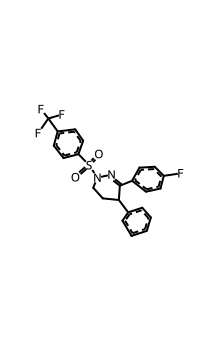 O=S(=O)(c1ccc(C(F)(F)F)cc1)N1CCC(c2ccccc2)C(c2ccc(F)cc2)=N1